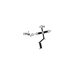 C=CCS(=O)(=O)O.O.[NaH]